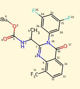 CC(NC(=O)OC(C)(C)C)c1nc2c(C(F)(F)F)cccc2c(=O)n1-c1cc(F)cc(F)c1